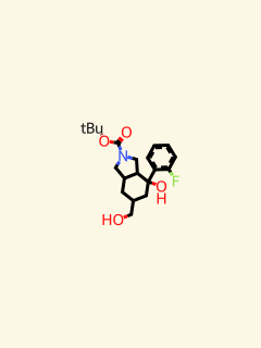 CC(C)(C)OC(=O)N1CC2CC(CO)CC(O)(c3ccccc3F)C2C1